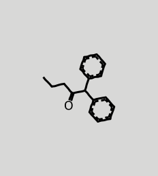 CCCC(=O)C(c1ccccc1)c1ccccc1